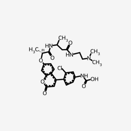 CC(CC(=O)NCCN(C)C)NC(=O)[C@@H](C)Oc1ccc2c(-c3ccc(NC(=O)O)cc3Cl)cc(=O)oc2c1